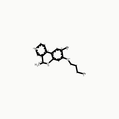 CC(C)CCCOc1cc2c(cc1Br)-c1ccncc1C(C)O2